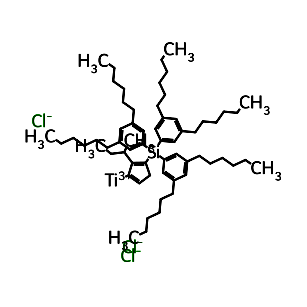 CCCCCCc1cc(CCCCCC)cc([Si](C2=C(C(C)CC)[C]([Ti+3])=CC2)(c2cc(CCCCCC)cc(CCCCCC)c2)c2cc(CCCCCC)cc(CCCCCC)c2)c1.[Cl-].[Cl-].[Cl-]